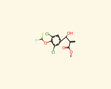 C=C(C(=O)OC)C(O)c1cc(Cl)c(OC(F)F)c(Cl)c1